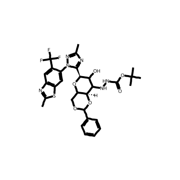 Cc1nc([C@@H]2OC3COC(c4ccccc4)O[C@@H]3C(NNC(=O)OC(C)(C)C)C2O)n(-c2cc3sc(C)nc3cc2C(F)(F)F)n1